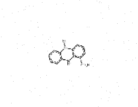 CCN1c2ccccc2Nc2c(C(=O)O)cccc21